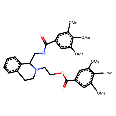 COc1cc(C(=O)NCC2c3ccccc3CCN2CCOC(=O)c2cc(OC)c(OC)c(OC)c2)cc(OC)c1OC